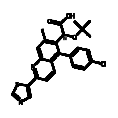 Cc1cc2nc(-c3cncs3)ccc2c(-c2ccc(Cl)cc2)c1[C@H](OC(C)(C)C)C(=O)O